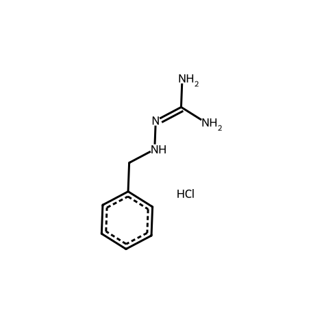 Cl.NC(N)=NNCc1ccccc1